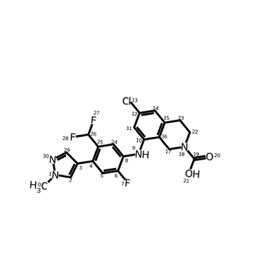 Cn1cc(-c2cc(F)c(Nc3cc(Cl)cc4c3CN(C(=O)O)CC4)cc2C(F)F)cn1